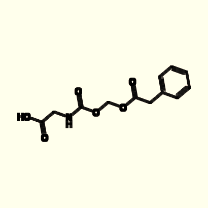 O=C(O)CNC(=O)OCOC(=O)Cc1ccccc1